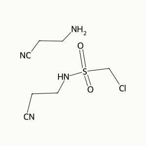 N#CCCN.N#CCCNS(=O)(=O)CCl